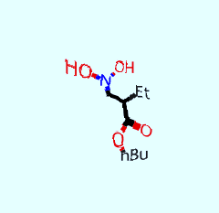 CCCCOC(=O)C(CC)CN(O)O